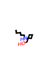 CCCCCNC1(CO)CCC1